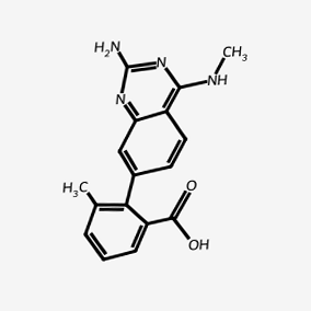 CNc1nc(N)nc2cc(-c3c(C)cccc3C(=O)O)ccc12